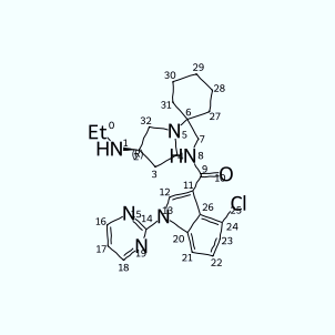 CCN[C@@H]1CCN(C2(CNC(=O)c3cn(-c4ncccn4)c4cccc(Cl)c34)CCCCC2)C1